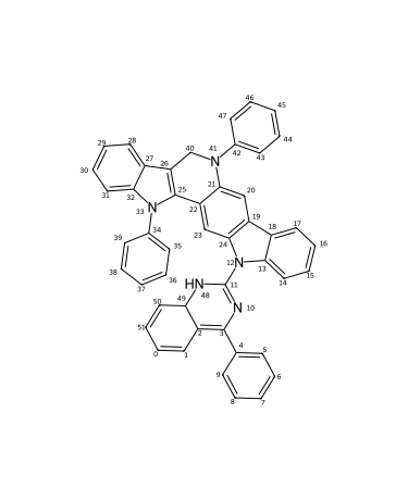 C1=CC2=C(c3ccccc3)N=C(n3c4ccccc4c4cc5c(cc43)-c3c(c4ccccc4n3-c3ccccc3)CN5c3ccccc3)NC2C=C1